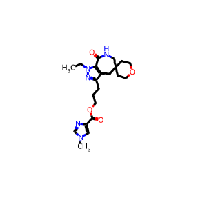 CCn1nc(CCCOC(=O)c2cn(C)cn2)c2c1C(=O)NCC1(CCOCC1)C2